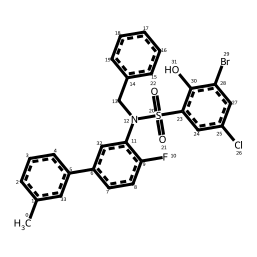 Cc1cccc(-c2ccc(F)c(N(Cc3ccccc3)S(=O)(=O)c3cc(Cl)cc(Br)c3O)c2)c1